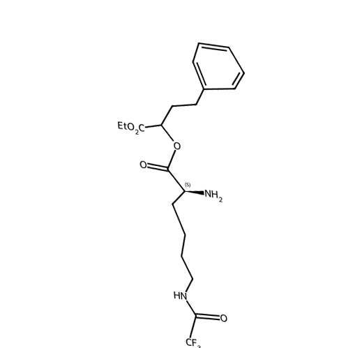 CCOC(=O)C(CCc1ccccc1)OC(=O)[C@@H](N)CCCCNC(=O)C(F)(F)F